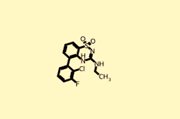 CCNC1=NS(=O)(=O)c2cccc(-c3cccc(F)c3Cl)c2N1